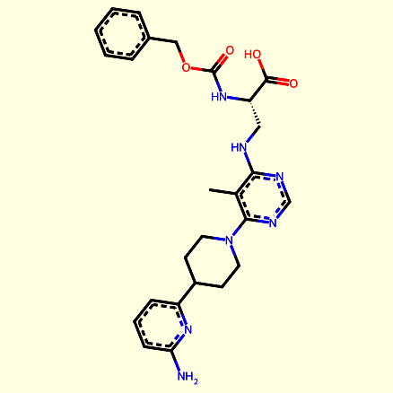 Cc1c(NC[C@H](NC(=O)OCc2ccccc2)C(=O)O)ncnc1N1CCC(c2cccc(N)n2)CC1